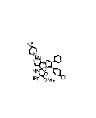 COC(=O)[C@@H](NC(=O)c1cnc(N2CCC(F)(F)CC2)nc1N1CC(c2ccccc2)C(c2ccc(Cl)cc2)=N1)C(C)C